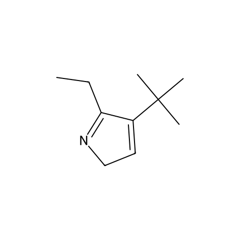 CCC1=NCC=C1C(C)(C)C